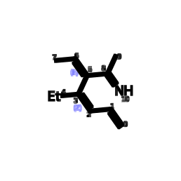 C=C/C=C(CC)\C(=C/C)C(C)=N